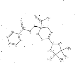 CC1(C)OB(C2=CC[C@@](COC(=O)c3ccccc3)(C(=O)O)CC2)OC1(C)C